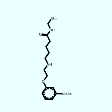 CC(=O)Nc1cccc(OCCNCCCCC(=O)NCC(C)(C)C)c1